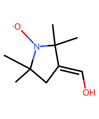 CC1(C)CC(=CO)C(C)(C)N1[O]